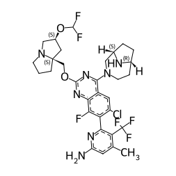 Cc1cc(N)nc(-c2c(Cl)cc3c(N4CC[C@H]5CC[C@@H](C4)N5)nc(OC[C@@]45CCCN4C[C@@H](OC(F)F)C5)nc3c2F)c1C(F)(F)F